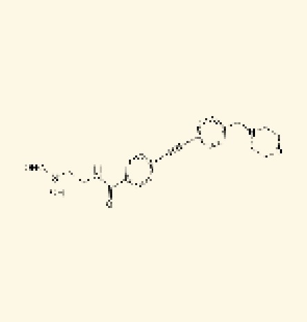 O=CN(O)CCNC(=O)c1ccc(C#Cc2ccc(CN3CCOCC3)cc2)cc1